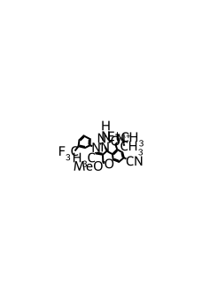 CC[N+](C)(C)Cc1cc(C#N)ccc1C1C(C(=O)OC)=C(C)N(c2cccc(C(F)(F)F)c2)c2n[nH]c(=O)n21